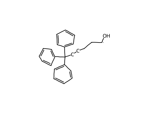 O[CH]CCCCC(c1ccccc1)(c1ccccc1)c1ccccc1